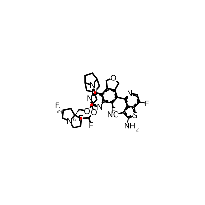 N#Cc1c(N)sc2c(F)cnc(-c3c4c(c5c(N6C7CCC6CN(CCOC(F)F)C7)nc(OC[C@@]67CCCN6C[C@H](F)C7)nc5c3F)COC4)c12